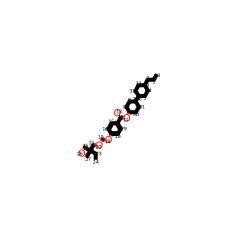 CCCC1CCC(C2CCC(OC(=O)c3ccc(OCOCC4(CC)COC4)cc3)CC2)CC1